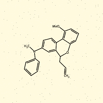 C=CCC1Oc2cccc(OC)c2-c2ccc(N(C)c3ccccc3)cc21